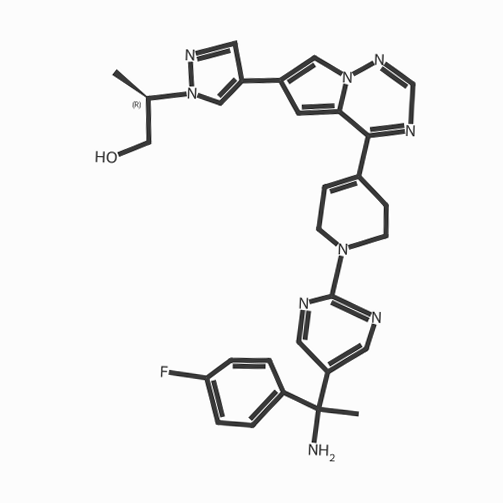 C[C@H](CO)n1cc(-c2cc3c(C4=CCN(c5ncc(C(C)(N)c6ccc(F)cc6)cn5)CC4)ncnn3c2)cn1